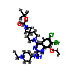 CCOc1c(Br)c(Cl)cc2c(N3CCC4(CC3)CN(C(=O)OC(C)(C)C)C4)nc(NC3CCN(CC)CC3)nc12